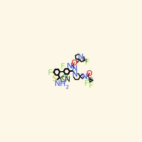 N#Cc1c(N)sc2c(F)ccc(-c3c(Cl)cc4c(N5CCCC6(CN(C(=O)[C@H]7CC7(F)F)C6)C5)nc(OC[C@@]56CCCN5C[C@H](F)C6)nc4c3F)c12